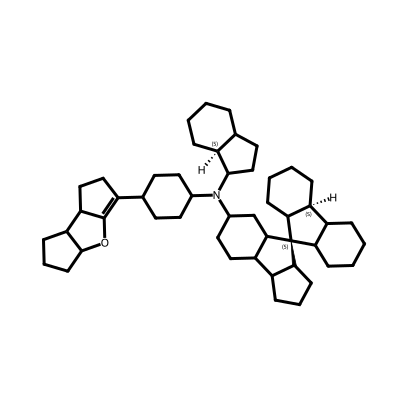 C1CC2OC3=C(C4CCC(N(C5CCC6C7CCCC7[C@]7(C6C5)C5CCCCC5[C@@H]5CCCCC57)C5CCC6CCCC[C@@H]65)CC4)CCC3C2C1